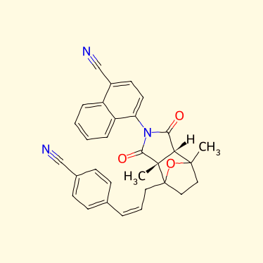 CC12CCC(C/C=C\c3ccc(C#N)cc3)(O1)[C@]1(C)C(=O)N(c3ccc(C#N)c4ccccc34)C(=O)[C@H]21